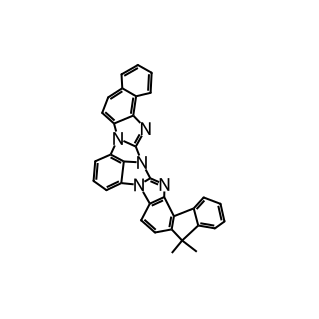 CC1(C)c2ccccc2-c2c1ccc1c2nc2n1c1cccc3c1n2c1nc2c4ccccc4ccc2n31